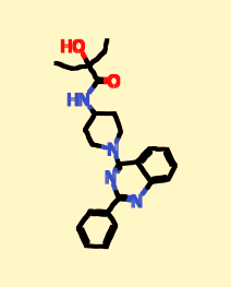 CCC(O)(CC)C(=O)NC1CCN(c2nc(-c3ccccc3)nc3ccccc23)CC1